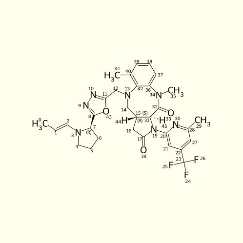 CC=CN1CCC[C@@H]1c1nnc(CN2C[C@H]3CC(=O)N(c4cc(C(F)(F)F)cc(C)n4)[C@@H]3C(=O)N(C)c3cccc(C)c32)o1